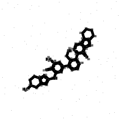 CN1CCn2nc(Nc3cc(-c4ccnc(-n5ncc6c7c(sc6c5=O)CCCC7)c4CO)cn(C)c3=O)cc2C1